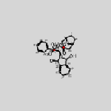 COC(=O)[C@H](C1CC2CCC(C1)N2C(=O)OCc1ccccc1)N1C(=O)c2ccccc2C1O